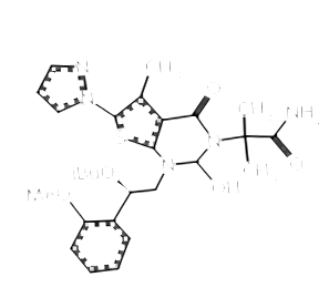 COc1ccccc1[C@H](CN1c2sc(-n3cccn3)c(C)c2C(=O)N(C(C)(C)C(N)=O)C1O)OCC(C)C